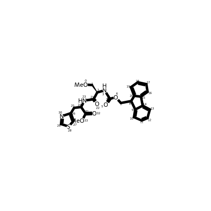 COC[C@@H](NC(=O)OCC1c2ccccc2-c2ccccc21)C(=O)NC(Cc1cscn1)C(=O)OC